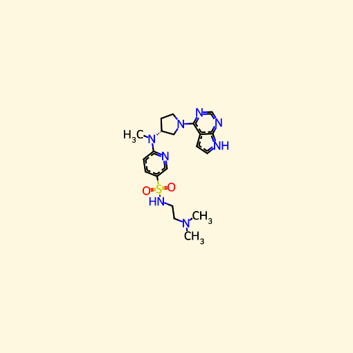 CN(C)CCNS(=O)(=O)c1ccc(N(C)[C@@H]2CCN(c3ncnc4[nH]ccc34)C2)nc1